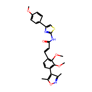 COc1ccc(-c2csc(NC(=O)C=Cc3ccc(-c4c(C)noc4C)c(OC)c3OC)n2)cc1